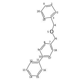 c1ccc(COCc2ccc(-c3ccccc3)cc2)cc1